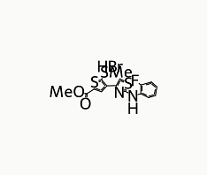 Br.COC(=O)c1cc(-c2csc(Nc3ccccc3F)n2)c(SC)s1